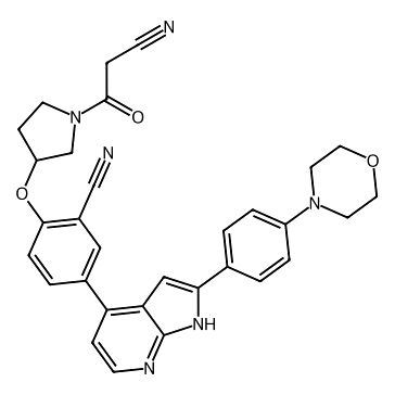 N#CCC(=O)N1CCC(Oc2ccc(-c3ccnc4[nH]c(-c5ccc(N6CCOCC6)cc5)cc34)cc2C#N)C1